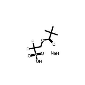 CC(C)(C)C(=O)OCC(F)(F)S(=O)(=O)O.[NaH]